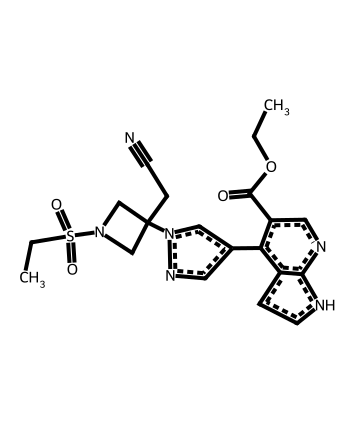 CCOC(=O)c1cnc2[nH]ccc2c1-c1cnn(C2(CC#N)CN(S(=O)(=O)CC)C2)c1